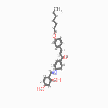 CCCCCCCOc1ccc(C=CC(=O)c2ccc(N=Cc3ccc(O)cc3O)cc2)cc1